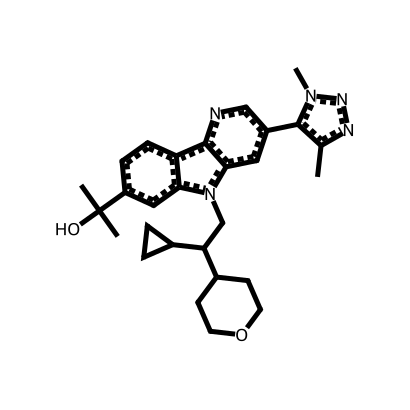 Cc1nnn(C)c1-c1cnc2c3ccc(C(C)(C)O)cc3n(CC(C3CCOCC3)C3CC3)c2c1